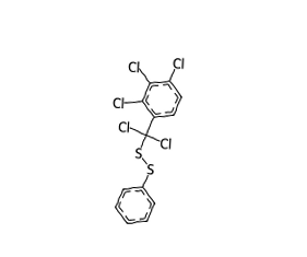 Clc1ccc(C(Cl)(Cl)SSc2ccccc2)c(Cl)c1Cl